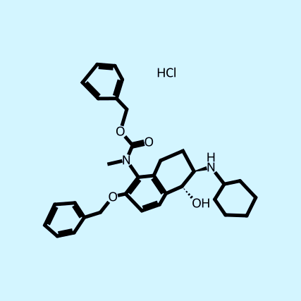 CN(C(=O)OCc1ccccc1)c1c(OCc2ccccc2)ccc2c1CC[C@@H](NC1CCCCC1)[C@@H]2O.Cl